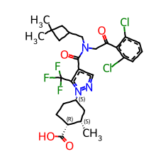 C[C@H]1C[C@@H](n2ncc(C(=O)N(CC(=O)c3c(Cl)cccc3Cl)CC3CC(C)(C)C3)c2C(F)(F)F)CC[C@H]1C(=O)O